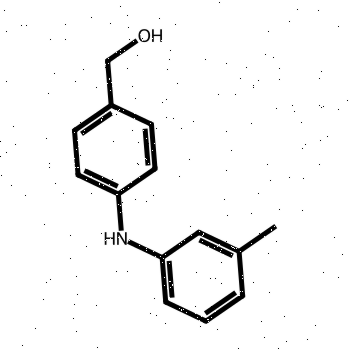 Cc1cccc(Nc2ccc(CO)cc2)c1